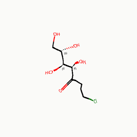 O=C(CCCl)[C@H](O)[C@@H](O)[C@@H](O)CO